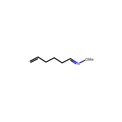 [CH]=CCCCC=NOC